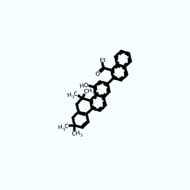 CCC(=O)c1c(-c2cc(O)c3c4c(ccc3c2)C2=C(CC(C)(C)C=C2)CC4(C)C)ccc2ccccc12